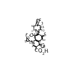 O=C(O)c1cn(C2CC2)c2c(C(F)(F)F)c(N3CCN(C(F)(F)F)CC3)c(F)cc2c1=O